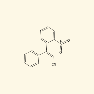 N#CC=C(c1ccccc1)c1ccccc1[SH](=O)=O